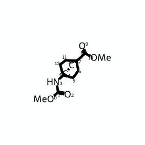 COC(=O)NC12CCC(C(=O)OC)(CC1)CC2